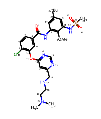 COc1c(NC(=O)c2ccc(Cl)c(Oc3cc(CNCCN(C)C)ncn3)c2)cc(C(C)(C)C)cc1NS(C)(=O)=O